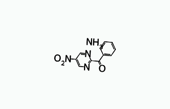 N.O=C(c1ccccc1)c1ncc([N+](=O)[O-])cn1